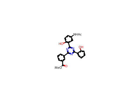 COC(=O)c1cccc(-c2nc(-c3ccccc3O)nc(-c3cc(NC(C)=O)ccc3O)n2)c1